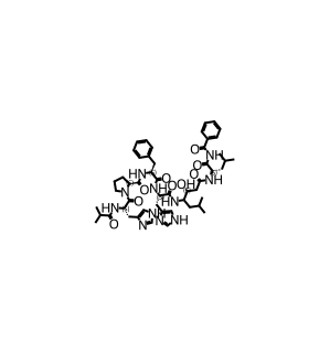 CC(C)CC(NC(=O)[C@H](Cc1c[nH]cn1)NC(=O)[C@H](Cc1ccccc1)NC(=O)[C@@H]1CCCN1C(=O)[C@H](Cc1c[nH]cn1)NC(=O)C(C)C)[C@@H](O)CC(=O)N[C@@H](CC(C)C)C(=O)NC(=O)c1ccccc1